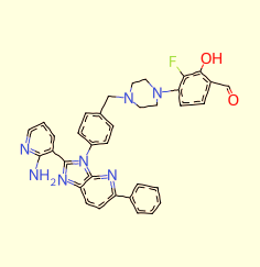 Nc1ncccc1-c1nc2ccc(-c3ccccc3)nc2n1-c1ccc(CN2CCN(c3ccc(C=O)c(O)c3F)CC2)cc1